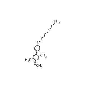 CCCCCCCCCCOc1ccc(-c2cc(C)c(OC)cc2C)cc1